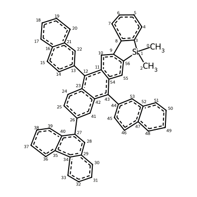 C[Si]1(C)c2ccccc2-c2cc3c(-c4ccc5ccccc5c4)c4ccc(-c5cc6ccccc6c6ccccc56)cc4c(-c4ccc5ccccc5c4)c3cc21